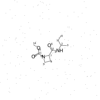 CCC(C)NC(=O)C1CCN1C(=O)OC